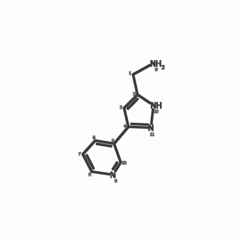 NCc1cc(-c2cccnc2)n[nH]1